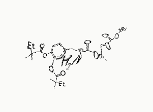 CCC(C)(C)C(=O)Oc1ccc(C[C@H](N)C(=O)O[C@@H](C)COC(=O)OC(C)(C)C)cc1OC(=O)C(C)(C)CC